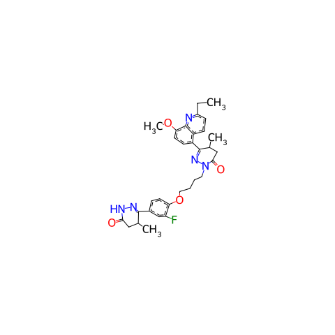 CCc1ccc2c(C3=NN(CCCCOc4ccc(C5=NNC(=O)CC5C)cc4F)C(=O)CC3C)ccc(OC)c2n1